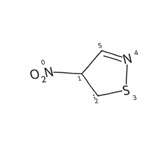 O=[N+]([O-])C1[C]SN=C1